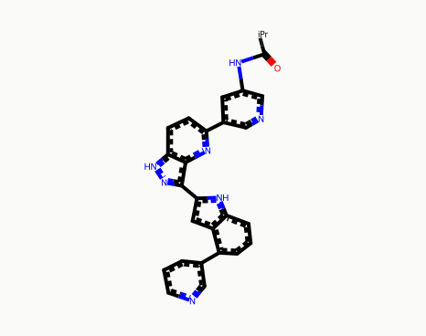 CC(C)C(=O)Nc1cncc(-c2ccc3[nH]nc(-c4cc5c(-c6cccnc6)cccc5[nH]4)c3n2)c1